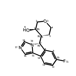 O[C@H]1COCC[C@@H]1[C@@H]1c2cc(F)ccc2-c2cncn21